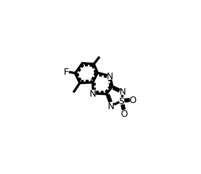 Cc1cc(F)c(C)c2nc3c(nc12)=NS(=O)(=O)N=3